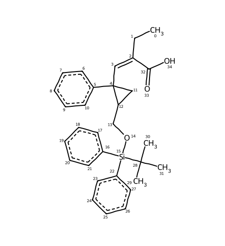 CCC(=CC1(c2ccccc2)CC1CO[Si](c1ccccc1)(c1ccccc1)C(C)(C)C)C(=O)O